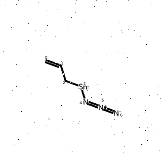 C=C[CH2][Sn][N]=[N+]=[N-]